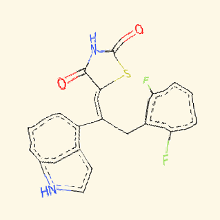 O=C1NC(=O)C(=C(Cc2c(F)cccc2F)c2cccc3[nH]ccc23)S1